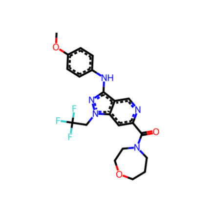 COc1ccc(Nc2nn(CC(F)(F)F)c3cc(C(=O)N4CCCOCC4)ncc23)cc1